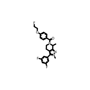 CC1c2nn(C)c(-c3cc(F)cc(F)c3)c2CCN1C(=O)c1ccc(OCCF)cc1